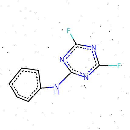 Fc1nc(F)nc(Nc2ccccc2)n1